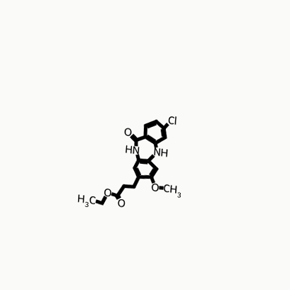 CCOC(=O)CCc1cc2c(cc1OC)Nc1cc(Cl)ccc1C(=O)N2